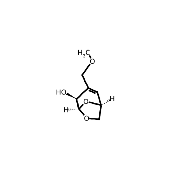 COCC1=C[C@H]2CO[C@H](O2)[C@H]1O